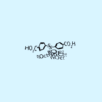 CCCCCCCC[N+](CCCCCCCC)(CCCCCCCC)CCCCCCCC.O=C(O)c1ccc(SSc2ccc(C(=O)O)cc2)cc1